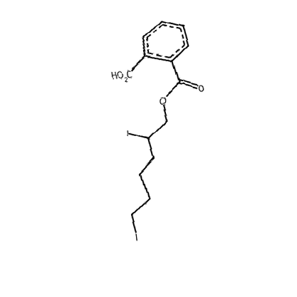 O=C(O)c1ccccc1C(=O)OCC(I)CCCCI